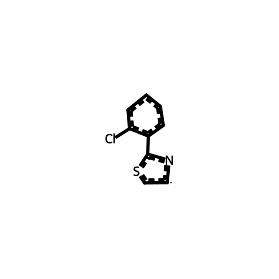 Clc1ccccc1-c1n[c]cs1